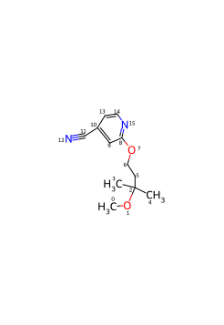 COC(C)(C)CCOc1cc(C#N)ccn1